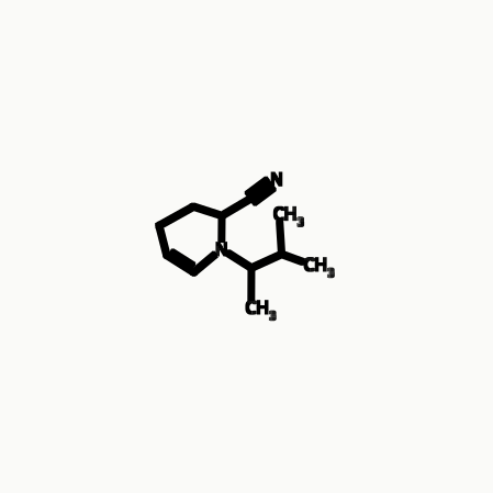 CC(C)C(C)N1C=CCCC1C#N